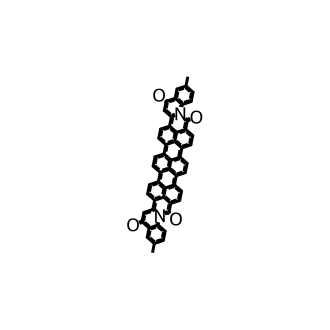 Cc1ccc2c(c1)c(=O)cc1c3ccc4c5ccc6c7ccc8c9c(ccc(c%10ccc(c%11ccc(c(=O)n21)c3c%114)c5c%106)c79)c(=O)n1c2ccc(C)cc2c(=O)cc81